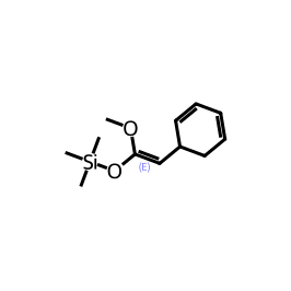 CO/C(=C\C1C=CC=CC1)O[Si](C)(C)C